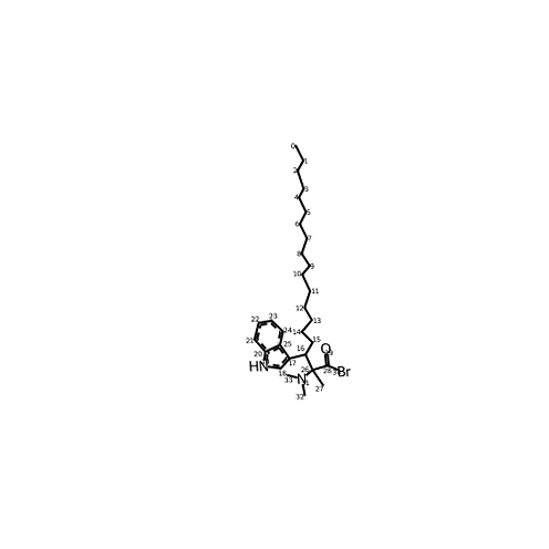 CCCCCCCCCCCCCCCCC(c1c[nH]c2ccccc12)C(C)(C(=O)Br)N(C)C